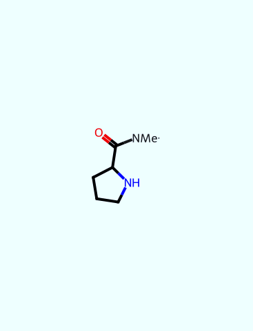 C[N]C(=O)C1CCCN1